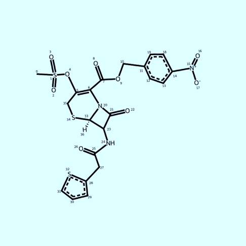 CS(=O)(=O)OC1=C(C(=O)OCc2ccc([N+](=O)[O-])cc2)N2C(=O)C(NC(=O)Cc3cccs3)[C@H]2SC1